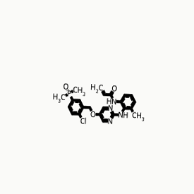 C=CC(=O)Nc1cccc(C)c1Nc1ncc(OCc2cc(P(C)(C)=O)ccc2Cl)cn1